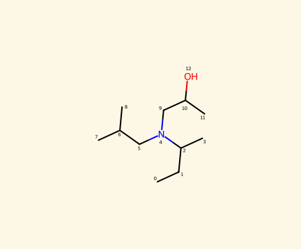 CCC(C)N(CC(C)C)CC(C)O